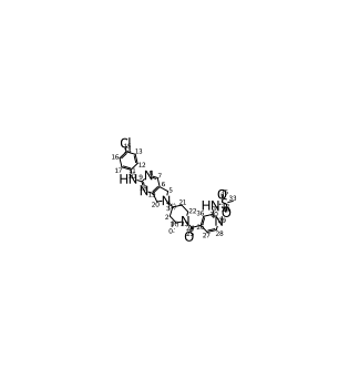 C[C@@H]1C[C@@H](N2Cc3cnc(Nc4ccc(Cl)cc4)nc3C2)CCN1C(=O)c1ccnc(NS(C)(=O)=O)c1